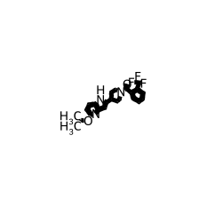 CC(C)Oc1ccc2[nH]c(C3CCN(C(=O)c4ccccc4C(F)(F)F)CC3)cc2n1